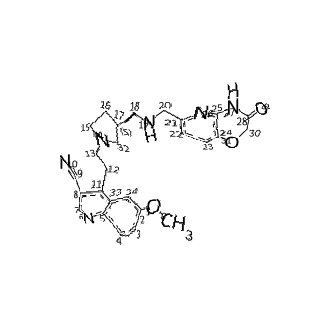 COc1ccc2ncc(C#N)c(CCN3CC[C@@H](CNCc4ccc5c(n4)NC(=O)CO5)C3)c2c1